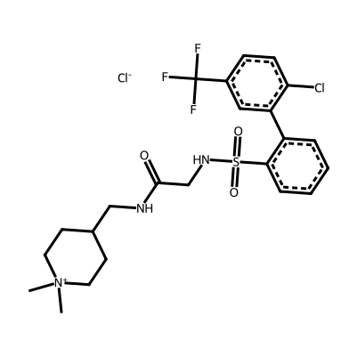 C[N+]1(C)CCC(CNC(=O)CNS(=O)(=O)c2ccccc2-c2cc(C(F)(F)F)ccc2Cl)CC1.[Cl-]